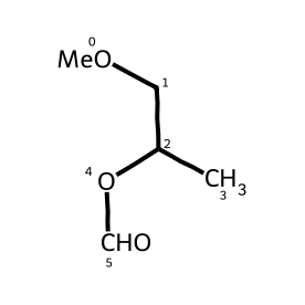 COCC(C)OC=O